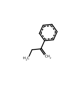 [CH2]CC(=C)c1[c]cccc1